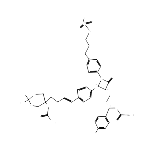 CC(=O)O[C@@H](CC[C@H]1C(=O)N(c2ccc(CCCNS(C)(=O)=O)cc2)[C@@H]1c1ccc(C=CCCC2(OC(C)=O)COC(C)(C)OC2)cc1)c1ccc(F)cc1